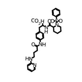 O=C(CCCNc1ccccn1)Nc1ccc(CC(NC(=O)C2CCCCN2S(=O)(=O)c2ccccc2)C(=O)O)cc1